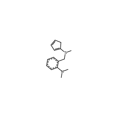 CN(C)c1ccccc1[CH2][Ti]([CH3])[C]1=CC=CC1